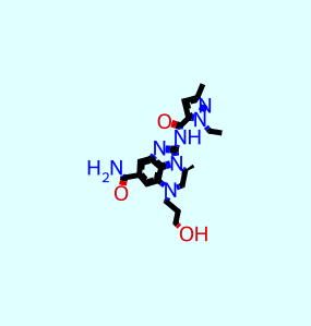 CCn1nc(C)cc1C(=O)Nc1nc2cc(C(N)=O)cc3c2n1[C@@H](C)CN3CCCO